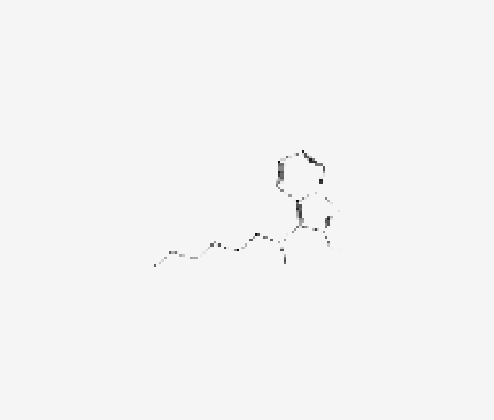 CCCCCCC(C)c1c(Cl)nn2ccccc12